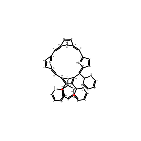 C1=COC(c2c(C3C=CC=CO3)c3c(C4C=CC=CO4)c4nc(cc5ccc(cc6nc(cc2n3C2C=CC=CO2)C=C6)[nH]5)C=C4)C=C1